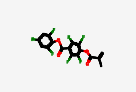 C=C(C)C(=O)Oc1c(F)c(F)c(C(=O)Oc2c(F)cc(F)cc2F)c(F)c1F